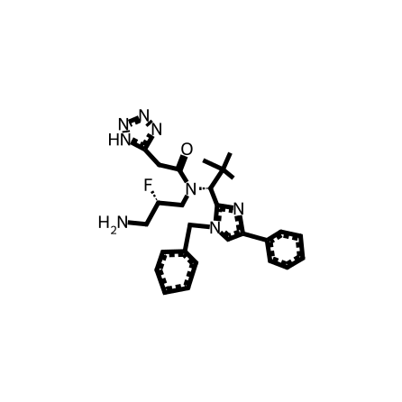 CC(C)(C)[C@H](c1nc(-c2ccccc2)cn1Cc1ccccc1)N(C[C@@H](F)CN)C(=O)Cc1nnn[nH]1